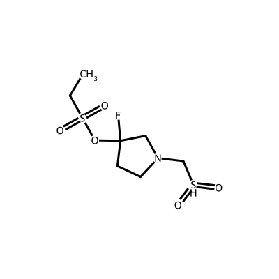 CCS(=O)(=O)OC1(F)CCN(C[SH](=O)=O)C1